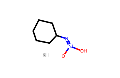 [KH].[O-]/[N+](O)=N\C1CCCCC1